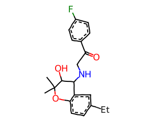 CCc1ccc2c(c1)C(NCC(=O)c1ccc(F)cc1)C(O)C(C)(C)O2